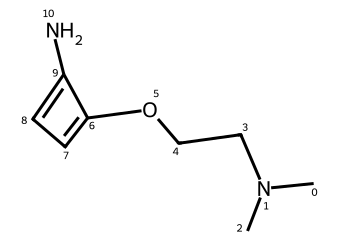 CN(C)CCOC1=CC=C1N